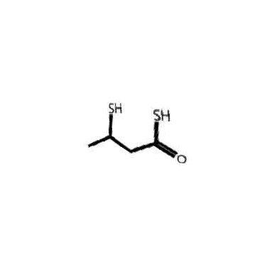 CC(S)CC(=O)S